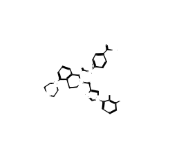 O=C(O)c1ccc(NC(=O)[C@@H]2c3cccc(N4CCOCC4)c3CCN2C(=O)c2cn(-c3cccc(Cl)c3F)cn2)cc1